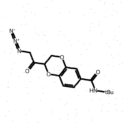 CC(C)(C)NC(=O)c1ccc2c(c1)OCC(C(=O)CN=[N+]=[N-])O2